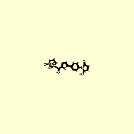 O=C(c1ccc(-c2ccc(N3C(=O)C=CC3O)cc2)o1)N1CC[N+]2([O-])CCC1CC2